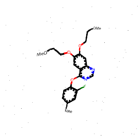 CNc1ccc(Oc2ncnc3cc(OCCOC)c(OCCOC)cc23)c(F)c1